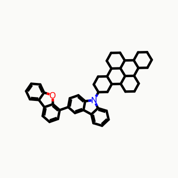 c1ccc2c(c1)oc1c(-c3ccc4c(c3)c3ccccc3n4C3CCC4C(C3)C3CCCC5C6CCCCC6C6CCCC4C6C53)cccc12